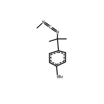 CN=C=NC(C)(C)c1ccc(C(C)(C)C)cc1